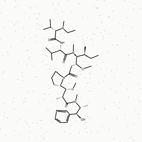 CC[C@H](C)[C@@H]([C@@H](CC(=O)N1CCC[C@H]1[C@H](OC)[C@@H](C)C(=O)N(C)[C@H](C)[C@@H](O)c1ccccc1)OC)N(C)C(=O)[C@@H](NC(=O)[C@H](C(C)C)N(C)CC)C(C)C